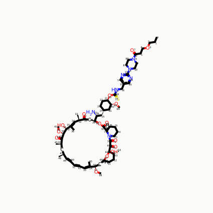 CCCOCCC(=O)N1CCN(c2ncc(CNC(=S)O[C@@H]3CC[C@@H](C[C@@H](N)[C@@H]4CC(=O)[C@H](C)/C=C(\C)[C@@H](O)[C@@H](OC)C(=O)[C@H](C)C[C@H](C)/C=C/C=C/C=C(\C)[C@@H](OC)C[C@@H]5CC[C@@H](C)[C@@](O)(O5)C(=O)C(=O)N5CCCC[C@H]5C(=O)O4)C[C@H]3OC)cn2)CC1